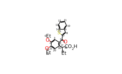 CCOc1cc(C(=O)c2cc3ccccc3s2)c(C(CC)C(=O)O)cc1OCC